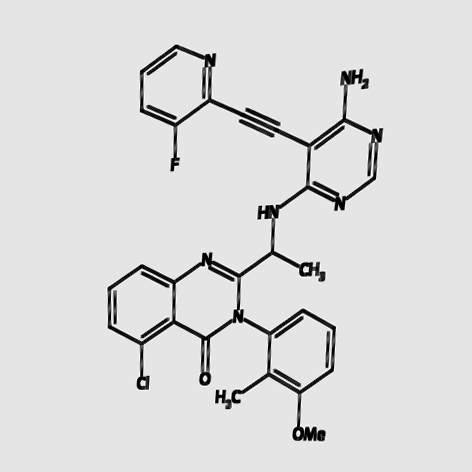 COc1cccc(-n2c(C(C)Nc3ncnc(N)c3C#Cc3ncccc3F)nc3cccc(Cl)c3c2=O)c1C